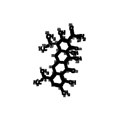 Cc1cc(N(C)C)c2c(c1O)C(=O)C1=C(O)[C@]3(O)C(=O)C(C(N)=O)=C(O)[C@@H](N(C)C)C3CC1C2